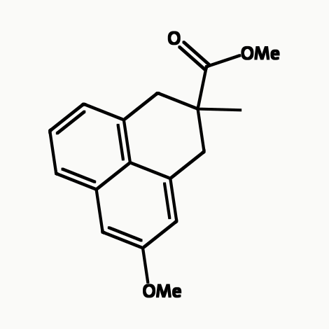 COC(=O)C1(C)Cc2cccc3cc(OC)cc(c23)C1